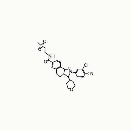 CS(=O)(=O)CCNC(=O)c1ccc2c(c1)CCC1C2=NN(c2ccc(C#N)c(Cl)c2)C1C1CCOCC1